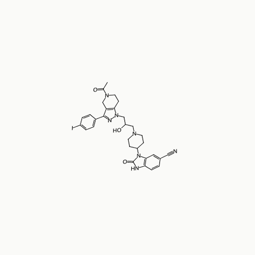 CC(=O)N1CCc2c(c(-c3ccc(I)cc3)nn2CC(O)CN2CCC(n3c(=O)[nH]c4ccc(C#N)cc43)CC2)C1